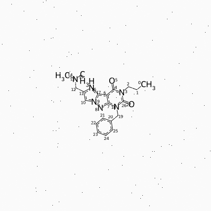 CCCn1c(=O)c2c(nn3cc(CN(C)C)[nH]c23)n(Cc2ccccc2)c1=O